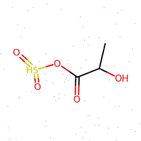 CC(O)C(=O)O[SH](=O)=O